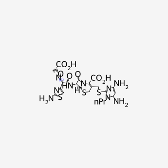 CCCN1C(SCC2=C(C(=O)O)N3C(=O)C(NC(=O)/C(=N\O[C@H](C)C(=O)O)c4csc(N)n4)[C@@H]3SC2)=NC(N)=CC1N